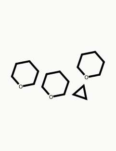 C1CC1.C1CCOCC1.C1CCOCC1.C1CCOCC1